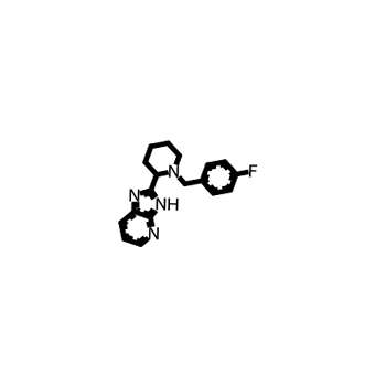 Fc1ccc(CN2CCCCC2c2nc3cccnc3[nH]2)cc1